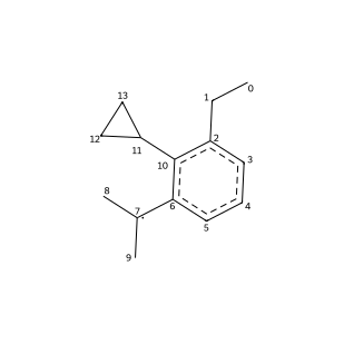 CCc1cccc([C](C)C)c1C1CC1